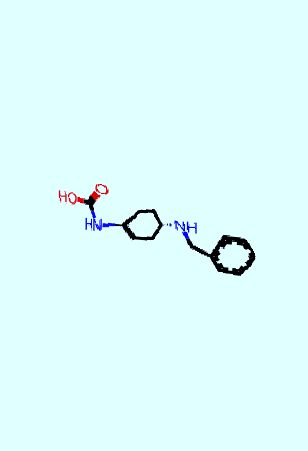 O=C(O)N[C@H]1CC[C@H](NCc2ccccc2)CC1